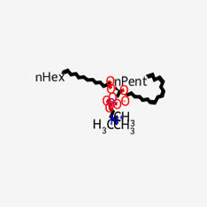 CCCCC/C=C\C/C=C\C/C=C\C/C=C\CCCCCC(=O)O[C@H](COC(=O)CCCCCCCCC/C=C\CCCCCC)COP(=O)([O-])OCC[N+](C)(C)C